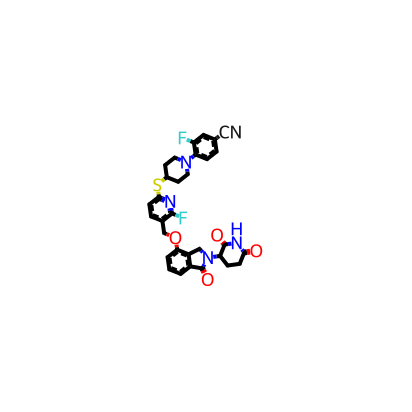 N#Cc1ccc(N2CCC(Sc3ccc(COc4cccc5c4CN(C4CCC(=O)NC4=O)C5=O)c(F)n3)CC2)c(F)c1